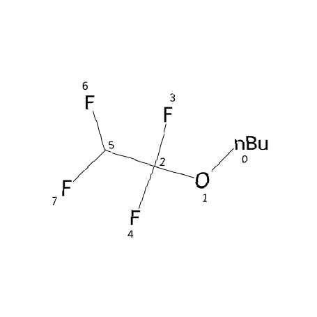 CCCCOC(F)(F)C(F)F